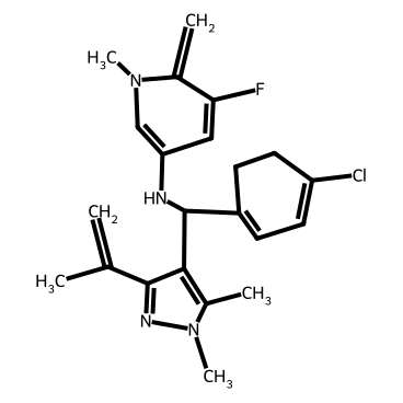 C=C(C)c1nn(C)c(C)c1C(NC1=CN(C)C(=C)C(F)=C1)C1=CC=C(Cl)CC1